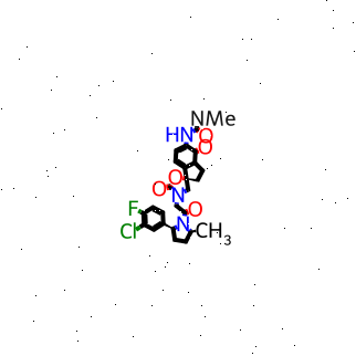 CNC(=O)NC1=CC=C2C(CC[C@]23CN(CC(=O)N2[C@@H](C)CC[C@H]2c2ccc(F)c(Cl)c2)C(=O)O3)C1=O